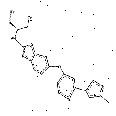 CC(C)C[C@@H](CO)Nc1nc2ccc(Oc3ccnc(-c4cnn(C)c4)c3)cc2s1